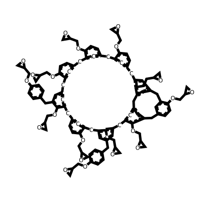 c1cc(OCC2CO2)ccc1Cc1cc2c(OCC3CO3)c(c1)Cc1cc3cc(c1OCC1CO1)Cc1ccc(OCC4CO4)c(c1)Cc1cc(c(CCC4CO4)c(c1)C3)Cc1ccc(OCC3CO3)c(c1)Cc1ccc(OCC3CO3)c(c1)Cc1ccc(OCC3CO3)c(c1)Cc1cc(Cc3ccc(OCC4CO4)cc3)c(OCC3CO3)c(c1)Cc1ccc(OCC3CO3)c(c1)C2